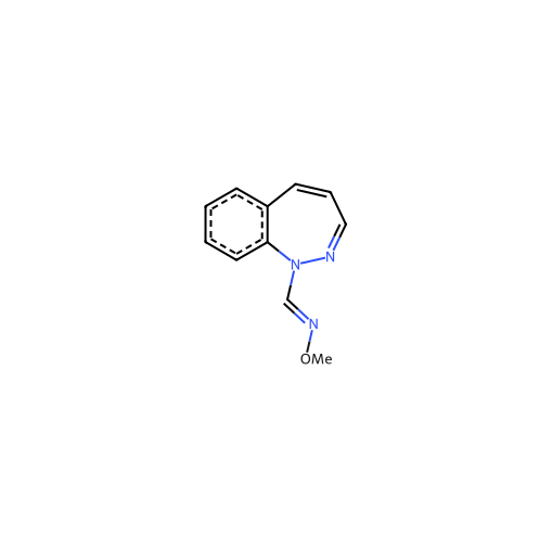 CON=CN1N=CC=Cc2ccccc21